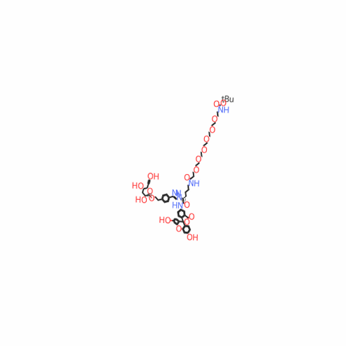 CC(C)(C)OC(=O)NCCOCCOCCOCCOCCOCCOCCC(=O)NCCCC[C@@H](C(=O)Nc1ccc2c(c1)C(=O)OC21c2ccc(O)cc2Oc2cc(O)ccc21)n1cc(-c2ccc(CCO[C@@H]3OC(C#CO)C(O)CC3O)cc2)nn1